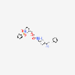 CN(C)C(CCc1ccccc1)C1CCC(CNC(=O)COCC2CCCN(S(=O)(=O)c3ccccc3)C2)CC1